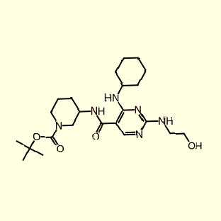 CC(C)(C)OC(=O)N1CCCC(NC(=O)c2cnc(NCCO)nc2NC2CCCCC2)C1